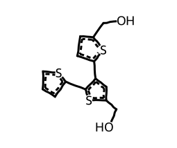 OCc1ccc(-c2cc(CO)sc2-c2cccs2)s1